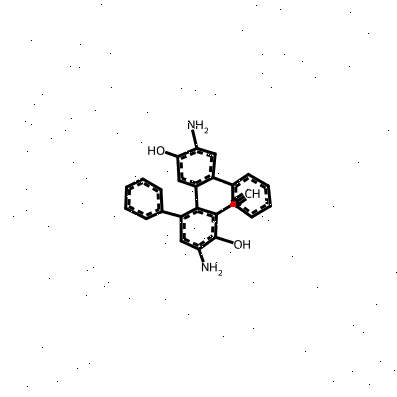 C#Cc1c(O)c(N)cc(-c2ccccc2)c1-c1cc(O)c(N)cc1-c1ccccc1